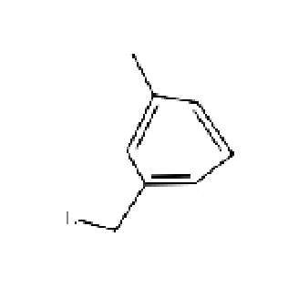 Cc1[c]ccc(CN)c1